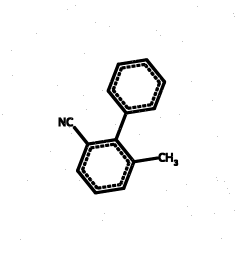 Cc1cccc(C#N)c1-c1ccccc1